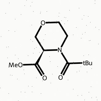 COC(=O)[C@H]1COCCN1C(=O)C(C)(C)C